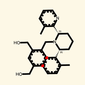 Cc1cccnc1[C@H]1CCC[C@@H](c2ncccc2C)N1Cc1ccc(CO)cc1CO